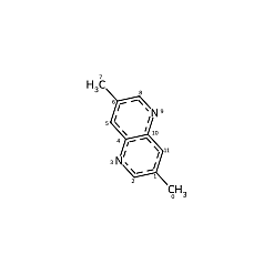 Cc1cnc2cc(C)cnc2c1